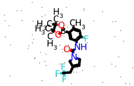 Cc1cc(F)c(NC(=O)N2CC=C(CC(F)(F)F)C2)cc1B1OC(C)(C)C(C)(C)O1